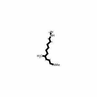 CNCCCC(C)CCCCCCNC(C)C